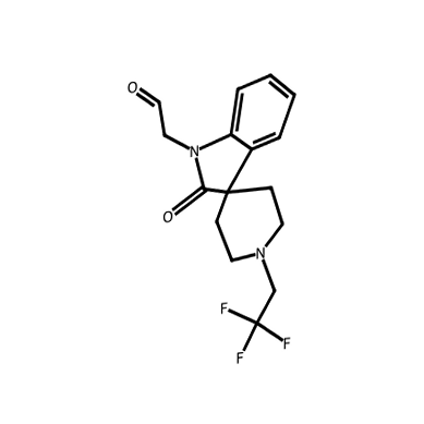 O=CCN1C(=O)C2(CCN(CC(F)(F)F)CC2)c2ccccc21